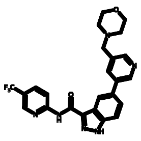 O=C(Nc1ccc(C(F)(F)F)cn1)c1n[nH]c2ccc(-c3cncc(CN4CCOCC4)c3)cc12